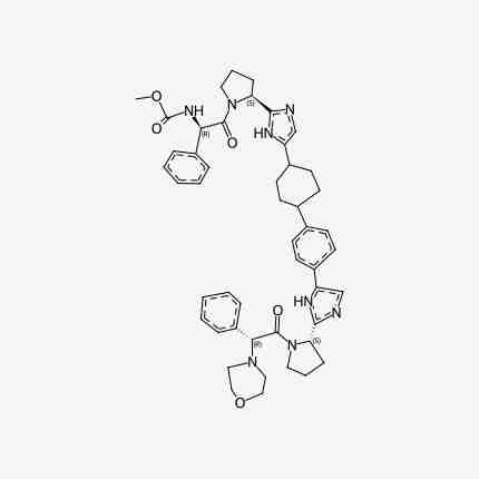 COC(=O)N[C@@H](C(=O)N1CCC[C@H]1c1ncc(C2CCC(c3ccc(-c4cnc([C@@H]5CCCN5C(=O)[C@@H](c5ccccc5)N5CCOCC5)[nH]4)cc3)CC2)[nH]1)c1ccccc1